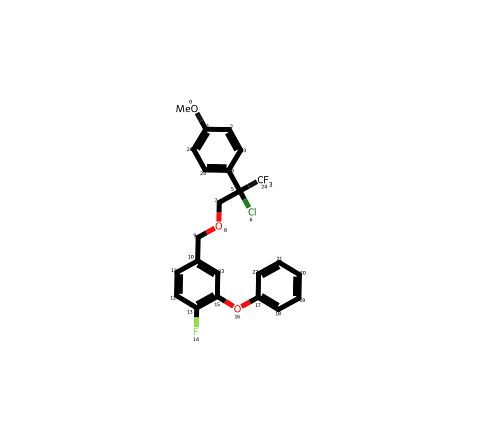 COc1ccc(C(Cl)(COCc2ccc(F)c(Oc3ccccc3)c2)C(F)(F)F)cc1